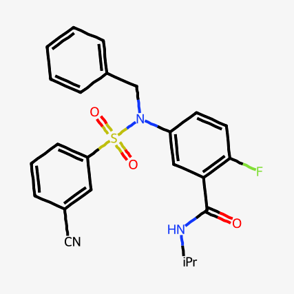 CC(C)NC(=O)c1cc(N(Cc2ccccc2)S(=O)(=O)c2cccc(C#N)c2)ccc1F